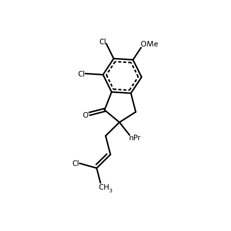 CCCC1(CC=C(C)Cl)Cc2cc(OC)c(Cl)c(Cl)c2C1=O